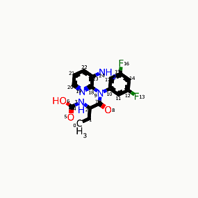 CCC(NC(=O)O)C(=O)N(c1cc(F)cc(F)c1)c1ncccc1N